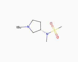 CN([C@H]1CCN(C(C)(C)C)C1)S(C)(=O)=O